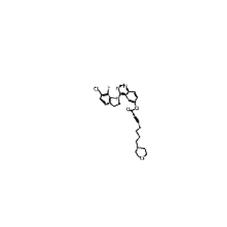 O=C(C#CCCCCN1CCOCC1)Oc1ccc2ncnc(N3CCc4ccc(Cl)c(F)c43)c2c1